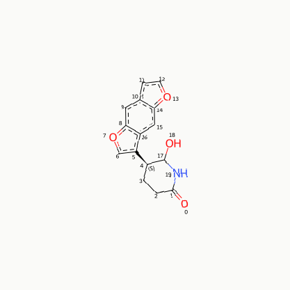 O=C1CC[C@@H](c2coc3cc4ccoc4cc23)C(O)N1